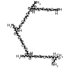 CC(=O)C(CCCCN)NC(=O)CCOCCOCCOCCOCCNC(=O)C(CCCCN)NC(=O)CCOCCOCCOCCOCCCC(=O)C(CCCCN)NC(=O)CCOCCOCCOCCOCCNC(=O)C(CCCCN)NC(=O)CCOCCOCCOCCOCCNO